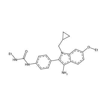 CCNC(=O)Nc1ccc(-c2c(N)c3ccc(OCC)cc3n2CC2CC2)cc1